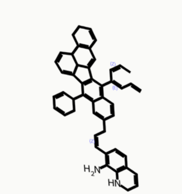 C=C/C=C(\C=C/C)c1c2c(c(C3C=CC=CC3)c3cc(C/C=C\c4ccc5c(c4N)NCC=C5)ccc13)C1=CC=CC3C4=C(C=CCC4)C=C2C13